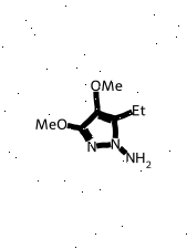 CCc1c(OC)c(OC)nn1N